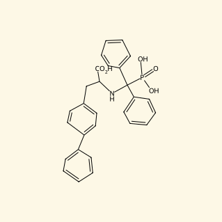 O=C(O)C(Cc1ccc(-c2ccccc2)cc1)NC(c1ccccc1)(c1ccccc1)P(=O)(O)O